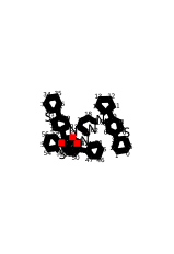 c1ccc2c(c1)sc1cc3c4ccccc4n(-c4ccc(-n5c6ccccc6c6cc7sc8ccccc8c7cc65)c(-n5c6ccccc6c6cc7sc8ccccc8c7cc65)n4)c3cc12